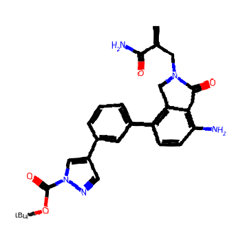 C=C(CN1Cc2c(-c3cccc(-c4cnn(C(=O)OC(C)(C)C)c4)c3)ccc(N)c2C1=O)C(N)=O